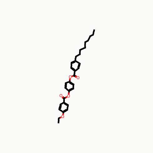 CCCCCCCCCc1ccc(C(=O)Oc2ccc(OC(=O)c3ccc(OCC)cc3)cc2)cc1